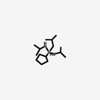 CC(C)C[Si](NC(C)C)(NC(C)C)C1CCCC1